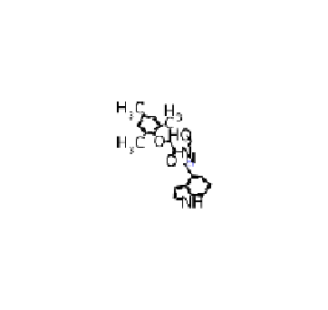 Cc1cc(C)c(OCC(=O)N(CO)/N=C/c2cccc3[nH]ccc23)c(C)c1